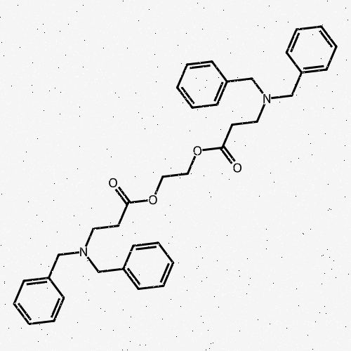 O=C(CCN(Cc1ccccc1)Cc1ccccc1)OCCOC(=O)CCN(Cc1ccccc1)Cc1ccccc1